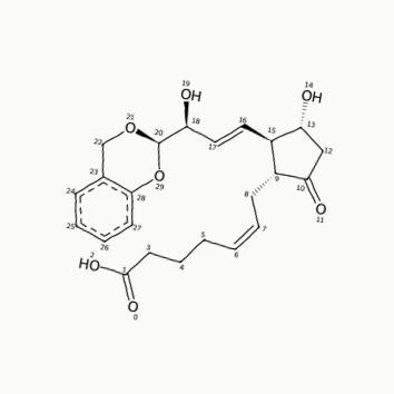 O=C(O)CCC/C=C\C[C@H]1C(=O)C[C@@H](O)[C@@H]1/C=C/[C@H](O)[C@@H]1OCc2ccccc2O1